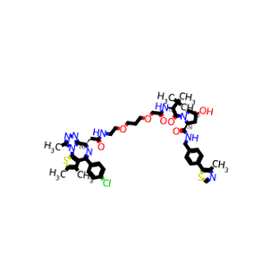 Cc1ncsc1-c1ccc(CNC(=O)[C@@H]2C[C@H](O)CN2C(=O)[C@@H](NC(=O)COCCCOCCNC(=O)C[C@@H]2N=C(c3ccc(Cl)cc3)c3c(sc(C)c3C)-n3c(C)nnc32)C(C)(C)C)cc1